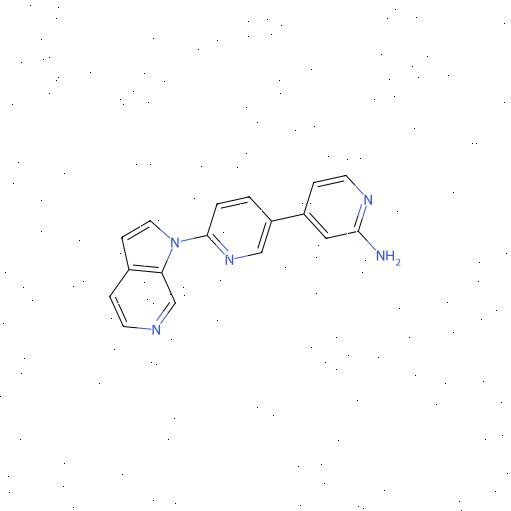 Nc1cc(-c2ccc(-n3ccc4ccncc43)nc2)ccn1